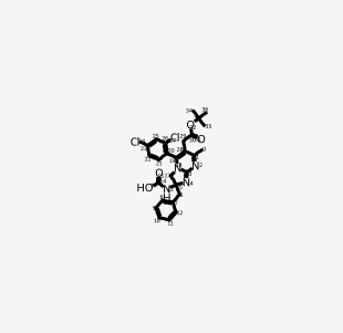 CC1=NC2=NC(Cc3ccccc3)(NC(=O)O)CN2C(c2ccc(Cl)cc2Cl)=C1CC(=O)OC(C)(C)C